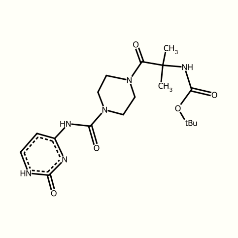 CC(C)(C)OC(=O)NC(C)(C)C(=O)N1CCN(C(=O)Nc2cc[nH]c(=O)n2)CC1